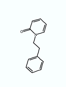 O=c1ccccn1CCc1ccccc1